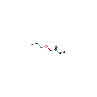 C=C[SiH2]COCCC